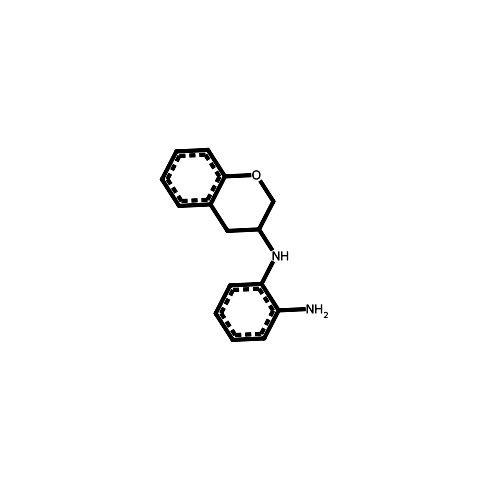 Nc1ccccc1NC1COc2ccccc2C1